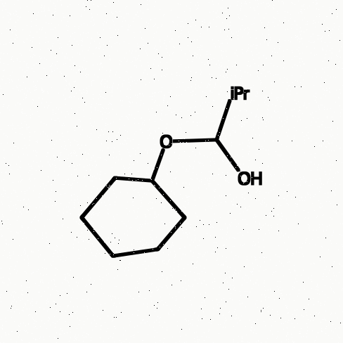 CC(C)C(O)OC1CCCCC1